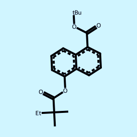 CCC(C)(C)C(=O)Oc1cccc2c(C(=O)OC(C)(C)C)cccc12